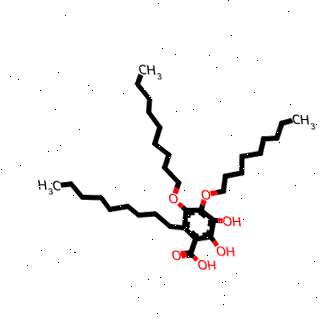 CCCCCCCCCOc1c(O)c(O)c(C(=O)O)c(CCCCCCCCC)c1OCCCCCCCCC